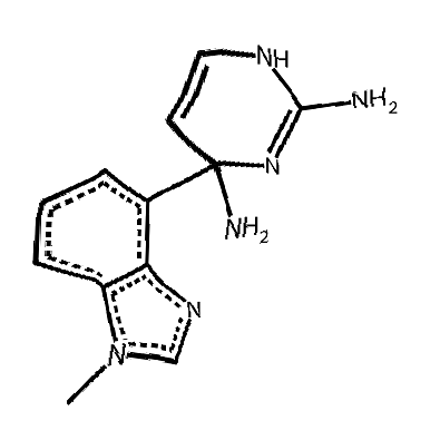 Cn1cnc2c(C3(N)C=CNC(N)=N3)cccc21